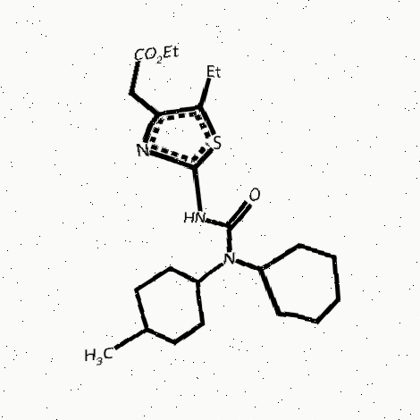 CCOC(=O)Cc1nc(NC(=O)N(C2CCCCC2)C2CCC(C)CC2)sc1CC